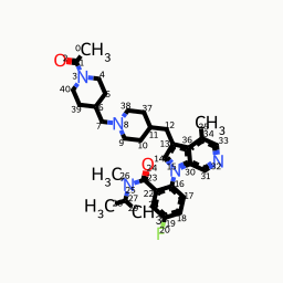 CC(=O)N1CCC(CN2CCC(Cc3cn(-c4ccc(F)cc4C(=O)N(C)C(C)C)c4cncc(C)c34)CC2)CC1